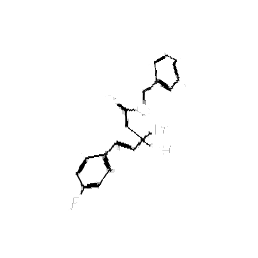 CC(C)C(O)(C=Cc1ccc(F)cc1)CC(=O)OCc1ccccc1